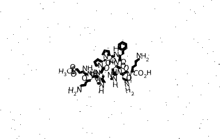 CS(=O)(=O)CC[C@H](N)C(=O)N[C@@H](CCCCN)C(=O)N[C@@H](Cc1c[nH]cn1)C(=O)N1CCC[C@H]1C(=O)N1CCC[C@H]1C(=O)N[C@@H](Cc1ccccc1)C(=O)N[C@@H](Cc1c[nH]cn1)C(=O)N[C@@H](CC(N)=O)C(=O)N[C@@H](CCCCN)C(=O)O